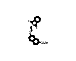 COc1ccc2ccc(OCCN3C(=O)c4ccccc4C3=O)cc2c1